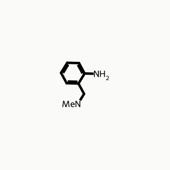 CNCc1ccccc1N